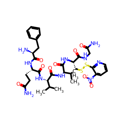 CC(C)[C@H](NC(=O)[C@H](CCC(N)=O)NC(=O)[C@@H](N)Cc1ccccc1)C(=O)N[C@H](C(=O)N[C@@H](CSSc1ncccc1[N+](=O)[O-])C(=O)NCC(N)=O)C(C)C